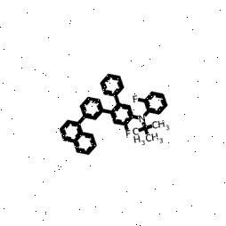 CC(C)(C)N(c1ccccc1F)c1cc(-c2ccccc2)c(-c2cccc(-c3cccc4ccccc34)c2)cc1F